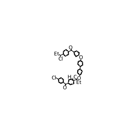 CCC(Cl)c1ccc(C(=O)c2ccc(Oc3ccc(-c4ccc(OC(C)(CC)c5ccc(C(=O)c6ccc(Cl)cc6)cc5)cc4)cc3)cc2)cc1